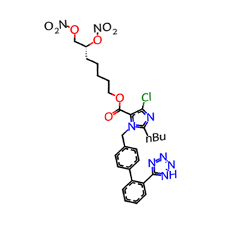 CCCCc1nc(Cl)c(C(=O)OCCCCC[C@H](CO[N+](=O)[O-])O[N+](=O)[O-])n1Cc1ccc(-c2ccccc2-c2nnn[nH]2)cc1